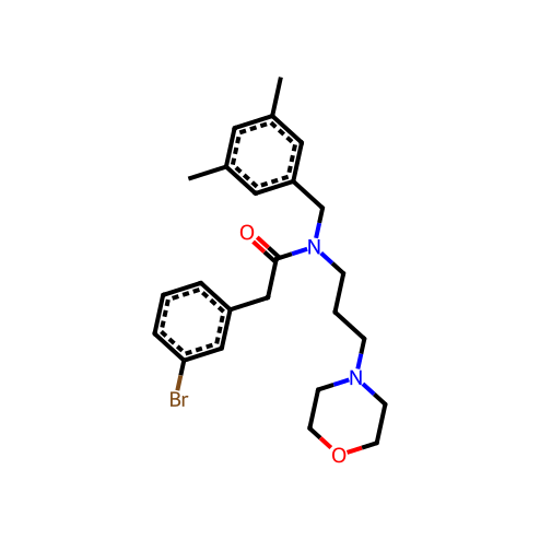 Cc1cc(C)cc(CN(CCCN2CCOCC2)C(=O)Cc2cccc(Br)c2)c1